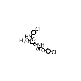 CN(CC12CC(NC(=O)COc3ccc(Cl)cc3)(C1)C2)C(=O)Nc1ccc(Cl)cc1